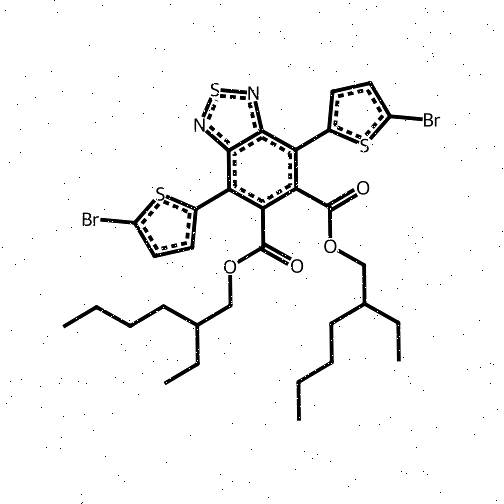 CCCCC(CC)COC(=O)c1c(C(=O)OCC(CC)CCCC)c(-c2ccc(Br)s2)c2nsnc2c1-c1ccc(Br)s1